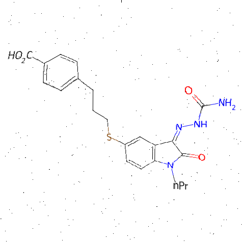 CCCN1C(=O)C(=NNC(N)=O)c2cc(SCCCc3ccc(C(=O)O)cc3)ccc21